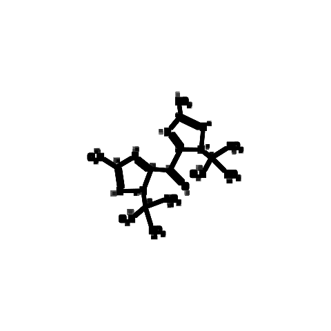 O=C(c1nc([N+](=O)[O-])nn1C([N+](=O)[O-])([N+](=O)[O-])[N+](=O)[O-])c1nc([N+](=O)[O-])nn1C([N+](=O)[O-])([N+](=O)[O-])[N+](=O)[O-]